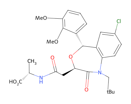 COc1cccc([C@H]2O[C@H](CC(=O)N[C@@H](C)C(=O)O)C(=O)N(CC(C)(C)C)c3ccc(Cl)cc32)c1OC